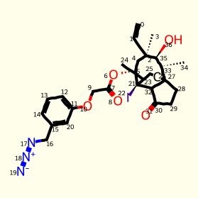 C=C[C@]1(C)C[C@@H](OC(=O)COc2cccc(CN=[N+]=[N-])c2)[C@]2(I)C(C)CCC3(CCC(=O)C32)[C@@H](C)[C@@H]1O